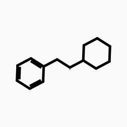 [CH](Cc1ccccc1)C1CCCCC1